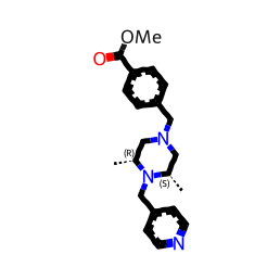 COC(=O)c1ccc(CN2C[C@@H](C)N(Cc3ccncc3)[C@@H](C)C2)cc1